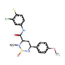 CN1C(C(=O)Nc2ccc(F)c(Cl)c2)CC(c2ccc(OC(F)(F)F)cc2)N[S+]1[O-]